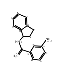 C=C(NC1CCc2ccccc21)c1cccc(N)c1